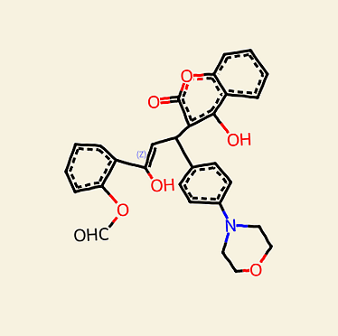 O=COc1ccccc1/C(O)=C/C(c1ccc(N2CCOCC2)cc1)c1c(O)c2ccccc2oc1=O